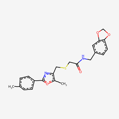 Cc1ccc(-c2nc(CSCC(=O)NCc3ccc4c(c3)OCO4)c(C)o2)cc1